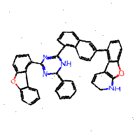 C1=Cc2c(oc3cccc(-c4ccc5c(C6=NC(c7cccc8oc9ccccc9c78)=NC(c7ccccc7)N6)cccc5c4)c23)NC1